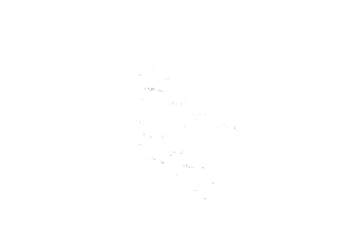 CCOC(=O)/C=C/c1cccn1CCOc1cccc(CN2CCOCC2)c1